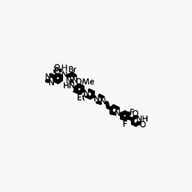 CCc1cc(Nc2ncc(Br)c(Nc3ccc4ncncc4c3P(C)(C)=O)n2)c(OC)cc1N1CCC(N2CCN(CCC3CCN(c4cc(F)c(C5CCC(=O)NC5=O)c(F)c4)CC3)CC2)CC1